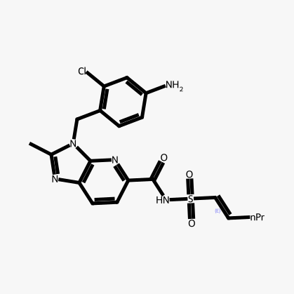 CCC/C=C/S(=O)(=O)NC(=O)c1ccc2nc(C)n(Cc3ccc(N)cc3Cl)c2n1